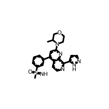 CC1COCCN1c1cc(-c2cccc(S(C)(=N)=O)c2)c2ccnc(-c3ccn[nH]3)c2n1